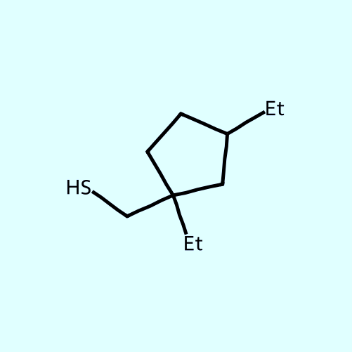 CCC1CCC(CC)(CS)C1